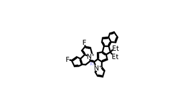 CCC1(CC)c2cc3c(cc2-c2ccc4ccccc4c21)/C(=C1/Cc2ccc(F)cc2-c2cc(F)cc[n+]21)[n+]1ccccc1-3